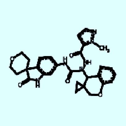 Cn1nccc1C(=O)N[C@H](C(=O)Nc1ccc2c(c1)NC(=O)C21CCOCC1)C1c2ccccc2OCC12CC2